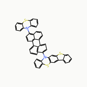 c1ccc2c(c1)Sc1ccccc1N2c1ccc2c3cccc4c(N5c6ccccc6Sc6cc7c(cc65)sc5ccccc57)ccc(c5cccc1c25)c43